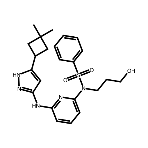 CC1(C)CC(c2cc(Nc3cccc(N(CCCO)S(=O)(=O)c4ccccc4)n3)n[nH]2)C1